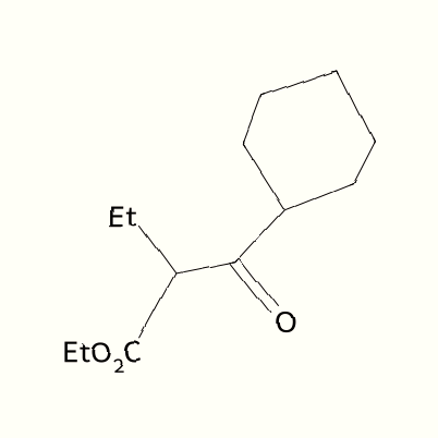 CCOC(=O)C(CC)C(=O)C1CCCCC1